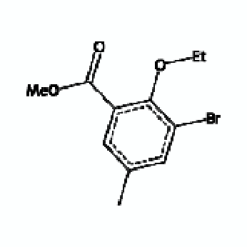 CCOc1c(Br)cc(C)cc1C(=O)OC